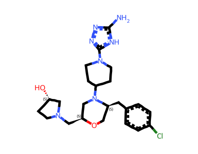 Nc1nnc(N2CCC(N3C[C@H](CN4CC[C@H](O)C4)OC[C@@H]3Cc3ccc(Cl)cc3)CC2)[nH]1